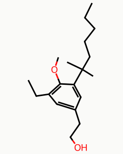 CCCCCC(C)(C)c1cc(CCO)cc(CC)c1OC